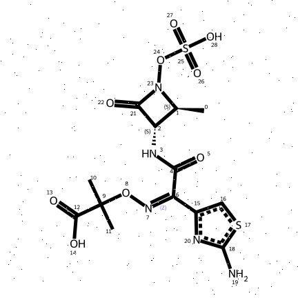 C[C@H]1[C@H](NC(=O)/C(=N\OC(C)(C)C(=O)O)c2csc(N)n2)C(=O)N1OS(=O)(=O)O